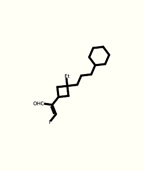 CCC1(CCCC2CCCCC2)CC(C(C=O)=CI)C1